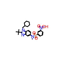 CN(c1ccc2c(c1)nc(C(C)(C)C)n2CC1CCCCC1)S(=O)(=O)c1cccc([N+](=O)O)c1